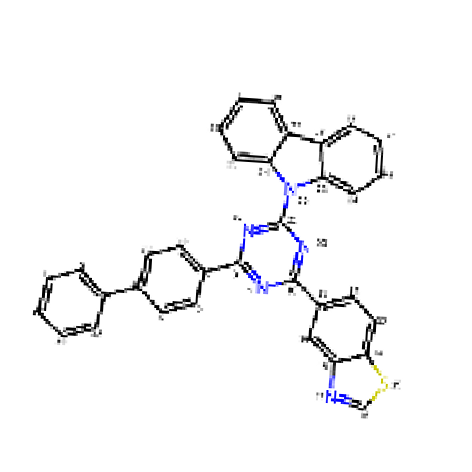 c1ccc(-c2ccc(-c3nc(-c4ccc5scnc5c4)nc(-n4c5ccccc5c5ccccc54)n3)cc2)cc1